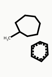 CC1CCCCCC1.c1ccccc1